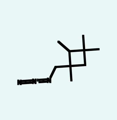 CC1C(C)(C)CC1(C)CN=[N+]=[N-]